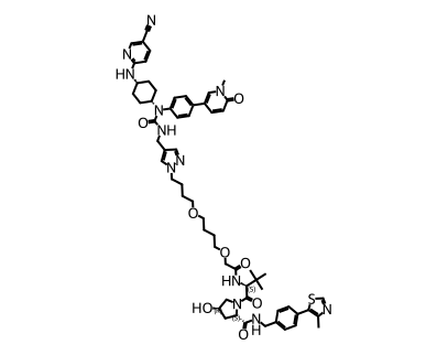 Cc1ncsc1-c1ccc(CNC(=O)[C@@H]2C[C@@H](O)CN2C(=O)[C@@H](NC(=O)COCCCCOCCCCn2cc(CNC(=O)N(c3ccc(-c4ccc(=O)n(C)c4)cc3)[C@H]3CC[C@H](Nc4ccc(C#N)cn4)CC3)cn2)C(C)(C)C)cc1